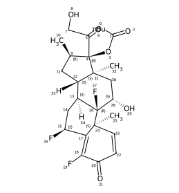 CCCCC(=O)O[C@]1(C(=O)CO)[C@H](C)C[C@H]2[C@@H]3C[C@H](F)C4=C(F)C(=O)C=C[C@]4(C)[C@@]3(F)[C@@H](O)C[C@@]21C